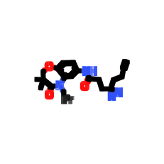 C#CCCC1(CCC(=O)Nc2ccc3c(c2)N(CC(C)C)C(=O)C(C)(C)CO3)N=N1